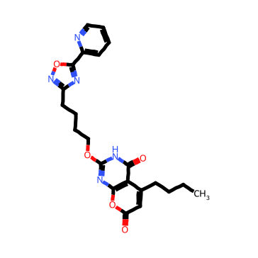 CCCCc1cc(=O)oc2nc(OCCCCc3noc(-c4ccccn4)n3)[nH]c(=O)c12